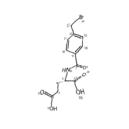 O=C(O)CC[C@H](NC(=O)c1ccc(CBr)cc1)C(=O)O